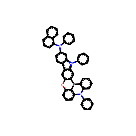 c1ccc(N2c3ccccc3B3c4cc5c(cc4Oc4cccc2c43)c2ccc(N(c3ccccc3)c3cccc4ccccc34)cc2n5-c2ccccc2)cc1